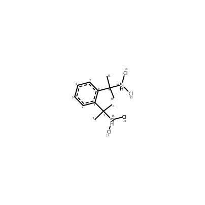 CC(C)(c1ccccc1C(C)(C)[SiH](Cl)Cl)[SiH](Cl)Cl